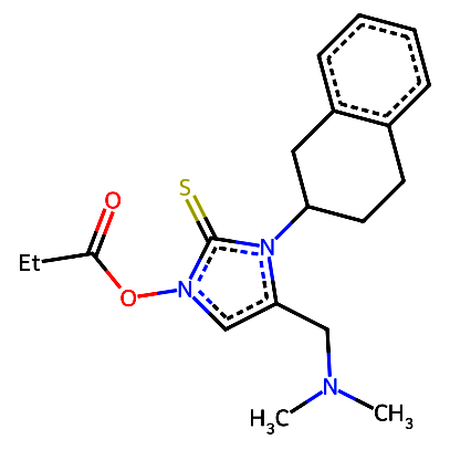 CCC(=O)On1cc(CN(C)C)n(C2CCc3ccccc3C2)c1=S